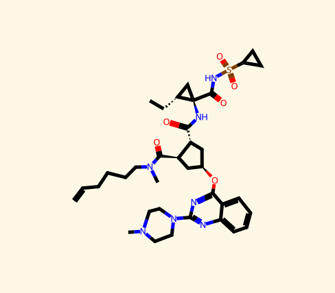 C=CCCCCN(C)C(=O)[C@@H]1C[C@H](Oc2nc(N3CCN(C)CC3)nc3ccccc23)C[C@H]1C(=O)N[C@]1(C(=O)NS(=O)(=O)C2CC2)C[C@H]1CC